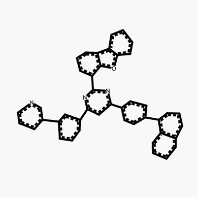 c1cncc(-c2cccc(-c3cc(-c4ccc(-c5cccc6ccccc56)cc4)nc(-c4cccc5c4oc4ccccc45)n3)c2)c1